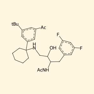 CC(=O)NC(Cc1cc(F)cc(F)c1)C(O)CNC1(c2cc(C(C)=O)cc(C(C)(C)C)c2)CCCCC1